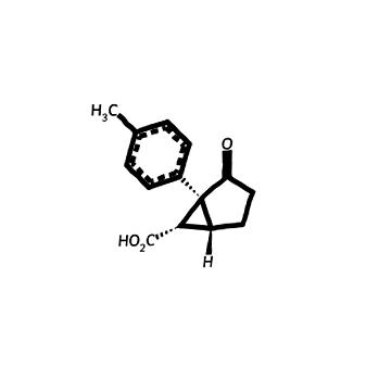 Cc1ccc([C@]23C(=O)CC[C@@H]2[C@@H]3C(=O)O)cc1